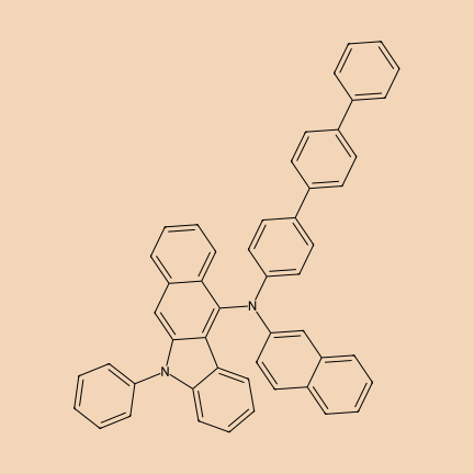 c1ccc(-c2ccc(-c3ccc(N(c4ccc5ccccc5c4)c4c5ccccc5cc5c4c4ccccc4n5-c4ccccc4)cc3)cc2)cc1